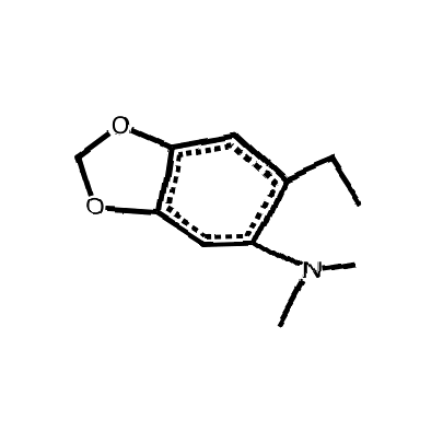 CCc1cc2c(cc1N(C)C)OCO2